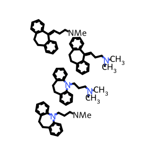 CN(C)CCC=C1c2ccccc2CCc2ccccc21.CN(C)CCCN1c2ccccc2CCc2ccccc21.CNCCC=C1c2ccccc2CCc2ccccc21.CNCCCN1c2ccccc2CCc2ccccc21